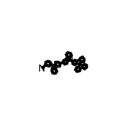 N#Cc1cccc(-n2c3ccccc3c3cc(-c4ccc5c(c4)c4ccccc4n5-c4ccc5c(c4)-c4ccccc4C5(c4ccccc4)c4ccccc4)ccc32)c1